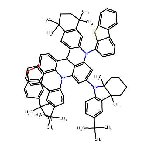 CC(C)(C)c1ccc(N2c3cc(N4c5ccc(C(C)(C)C)cc5C5(C)CCCCC45C)cc4c3B(c3cc5c(cc3N4c3cccc4c3sc3ccccc34)C(C)(C)CCC5(C)C)c3ccc4oc5ccc(C(C)(C)C)cc5c4c32)c(-c2ccccc2)c1